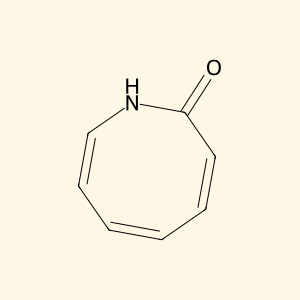 O=C1\C=C/C=C\C=C/N1